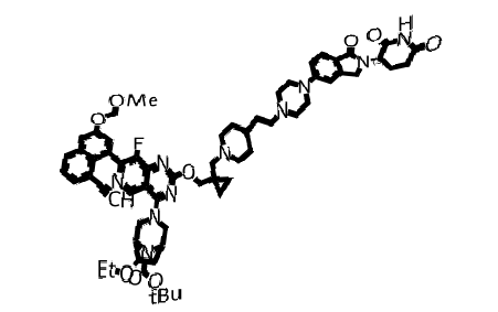 C#Cc1cccc2cc(OCOC)cc(-c3ncc4c(N5CC6CC(OCC)C(C5)N6C(=O)OC(C)(C)C)nc(OCC5(CN6CCC(CCN7CCN(c8ccc9c(c8)CN([C@H]8CCC(=O)NC8=O)C9=O)CC7)CC6)CC5)nc4c3F)c12